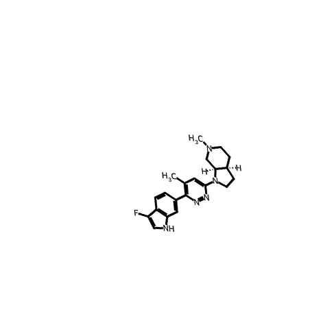 Cc1cc(N2CC[C@@H]3CCN(C)C[C@@H]32)nnc1-c1ccc2c(F)c[nH]c2c1